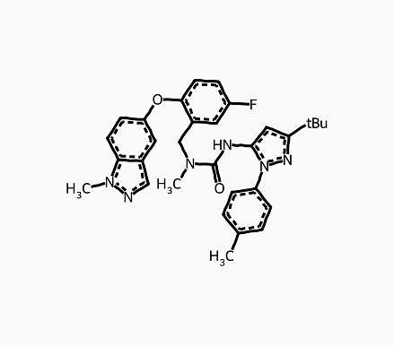 Cc1ccc(-n2nc(C(C)(C)C)cc2NC(=O)N(C)Cc2cc(F)ccc2Oc2ccc3c(cnn3C)c2)cc1